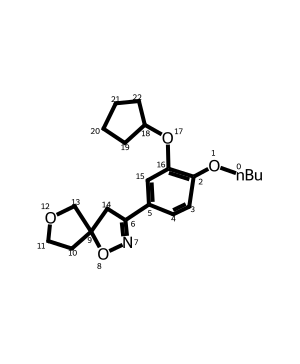 CCCCOc1ccc(C2=NOC3(CCOC3)C2)cc1OC1CCCC1